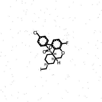 O=S(=O)(c1ccc(Cl)cc1)[C@]12CC[C@H](CI)C[C@H]1COc1c(F)ccc(F)c12